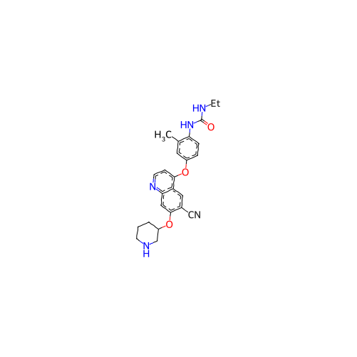 CCNC(=O)Nc1ccc(Oc2ccnc3cc(OC4CCCNC4)c(C#N)cc23)cc1C